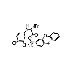 CC(C)C(Nc1ccc(Cl)c(Cl)c1)C(=O)OC(C#N)c1ccc(F)c(Oc2ccccc2)c1